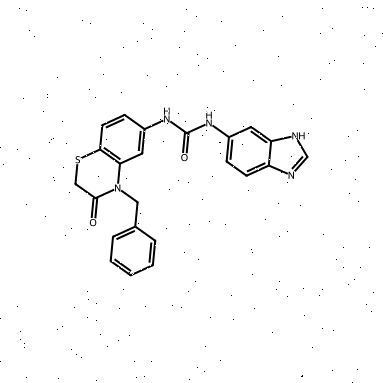 O=C(Nc1ccc2c(c1)N(Cc1ccccc1)C(=O)CS2)Nc1ccc2nc[nH]c2c1